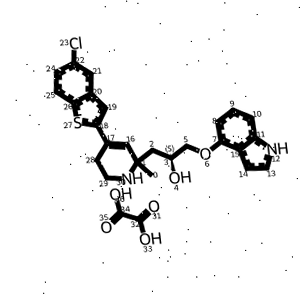 CC1(C[C@H](O)COc2cccc3[nH]ccc23)C=C(c2cc3cc(Cl)ccc3s2)CCN1.O=C(O)C(=O)O